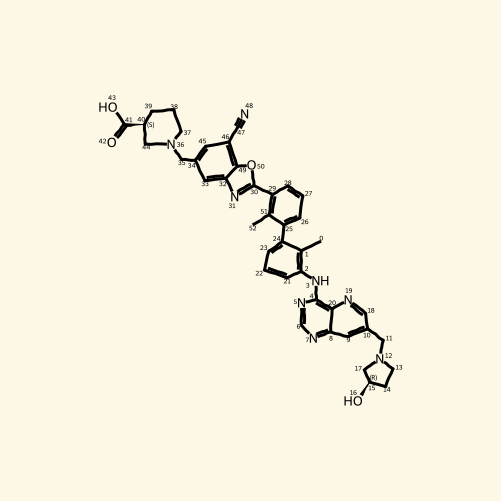 Cc1c(Nc2ncnc3cc(CN4CC[C@@H](O)C4)cnc23)cccc1-c1cccc(-c2nc3cc(CN4CCC[C@H](C(=O)O)C4)cc(C#N)c3o2)c1C